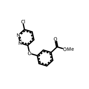 COC(=O)c1cccc(Oc2ccc(Cl)nn2)c1